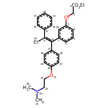 CCOC(=O)COc1cccc(C(=C(CC)c2ccccc2)c2ccc(OCCN(C)C)cc2)c1